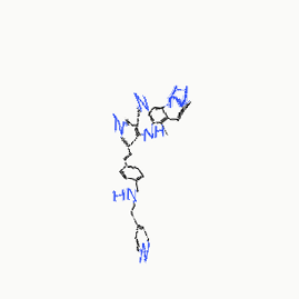 Cc1c(Nc2c(C#N)cncc2C=Cc2ccc(CNCCc3ccncc3)cc2)ccc2[nH]ccc12